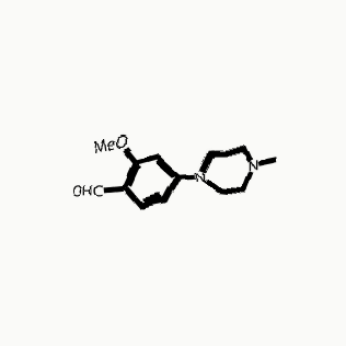 COc1cc(N2CCN(C)CC2)ccc1C=O